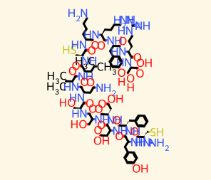 CC(C)CC(NC(=O)[C@@H](NC(=O)C(CC(N)=O)NC(=O)[C@H](CO)NC(=O)C(CO)NC(=O)[C@H](CC(=O)O)NC(=O)C(CC(=O)O)NC(=O)[C@H](Cc1ccccc1)NC(=O)C(Cc1ccc(O)cc1)NC(=O)[C@H](CS)NN)C(C)C)C(=O)N[C@@H](CS)C(=O)NC(CCCCN)C(=O)N[C@@H](CCCCN)C(=O)NC(Cc1ccc(O)cc1)C(=O)N[C@@H](CCCNC(=N)N)C(=O)NC(CO)C(=O)O